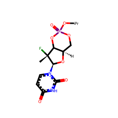 CC(C)OP1(=O)OC[C@H]2O[C@@H](n3ccc(=O)[nH]c3=O)[C@](C)(F)C2O1